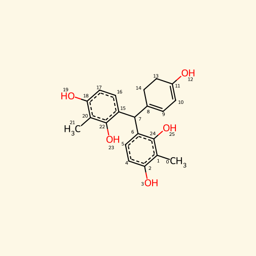 Cc1c(O)ccc(C(C2=CC=C(O)CC2)c2ccc(O)c(C)c2O)c1O